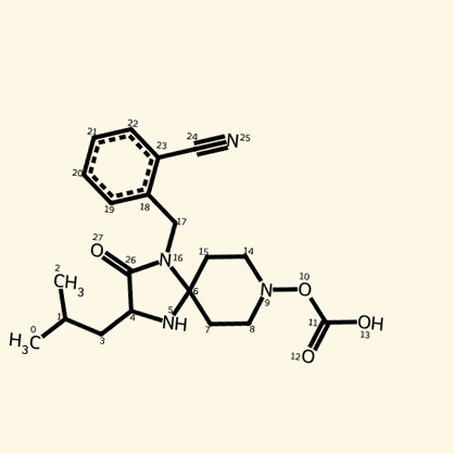 CC(C)CC1NC2(CCN(OC(=O)O)CC2)N(Cc2ccccc2C#N)C1=O